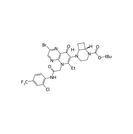 CCc1c(N2CCN(C(=O)OC(C)(C)C)[C@H]3CC[C@@H]32)c(=O)c2nc(Br)cnc2n1CC(=O)Nc1ccc(C(F)(F)F)cc1Cl